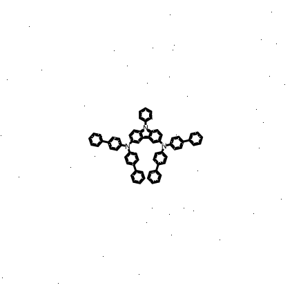 c1ccc(-c2ccc(N(c3ccc(-c4ccccc4)cc3)c3ccc4c(c3)c3cc(N(c5ccc(-c6ccccc6)cc5)c5ccc(-c6ccccc6)cc5)ccc3n4-c3ccccc3)cc2)cc1